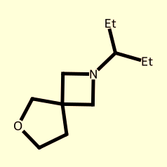 CCC(CC)N1CC2(CCOC2)C1